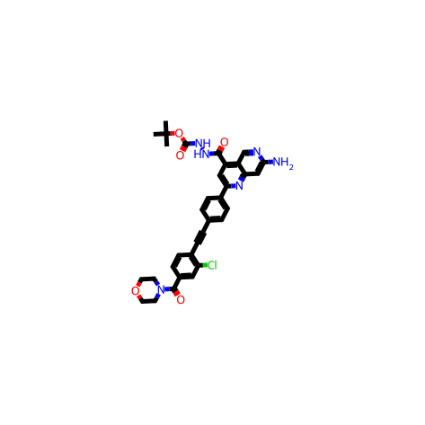 CC(C)(C)OC(=O)NNC(=O)c1cc(-c2ccc(C#Cc3ccc(C(=O)N4CCOCC4)cc3Cl)cc2)nc2cc(N)ncc12